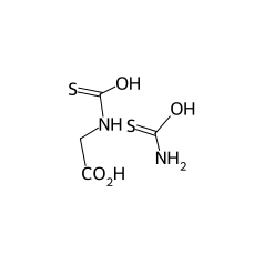 NC(O)=S.O=C(O)CNC(O)=S